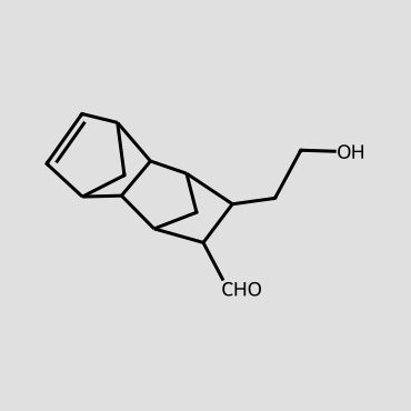 O=CC1C(CCO)C2CC1C1C3C=CC(C3)C21